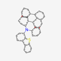 c1ccc(-c2cccc3cccc(-c4ccccc4N(c4ccccc4)c4cccc5c4sc4ccccc45)c23)cc1